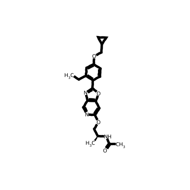 CCc1cc(OCC2CC2)ccc1-c1nc2cnc(OC[C@H](C)NC(C)=O)cc2o1